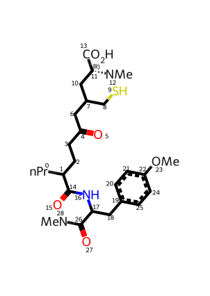 CCCC(CCC(=O)CC(CS)C[C@@H](NC)C(=O)O)C(=O)NC(Cc1ccc(OC)cc1)C(=O)NC